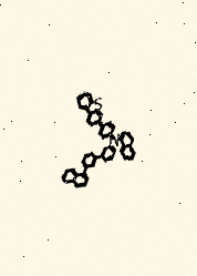 c1cc(-c2cccc(N(c3ccc(-c4ccc5c(c4)sc4ccccc45)cc3)c3cccc4ccccc34)c2)cc(-c2cccc3ccccc23)c1